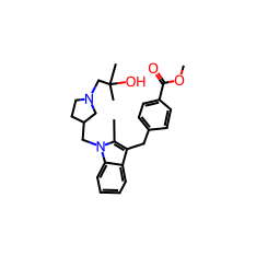 COC(=O)c1ccc(Cc2c(C)n(CC3CCN(CC(C)(C)O)C3)c3ccccc23)cc1